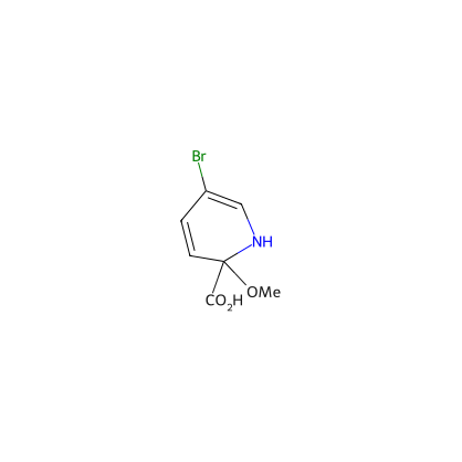 COC1(C(=O)O)C=CC(Br)=CN1